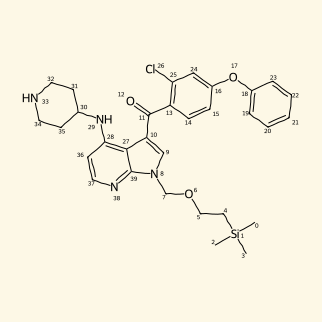 C[Si](C)(C)CCOCn1cc(C(=O)c2ccc(Oc3ccccc3)cc2Cl)c2c(NC3CCNCC3)ccnc21